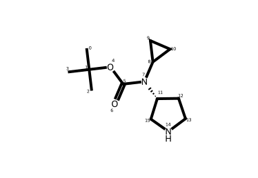 CC(C)(C)OC(=O)N(C1CC1)[C@@H]1CCNC1